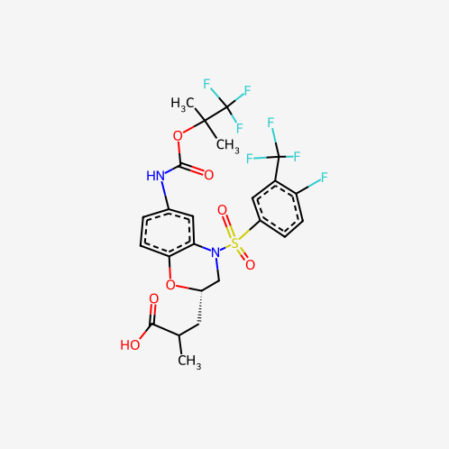 CC(C[C@H]1CN(S(=O)(=O)c2ccc(F)c(C(F)(F)F)c2)c2cc(NC(=O)OC(C)(C)C(F)(F)F)ccc2O1)C(=O)O